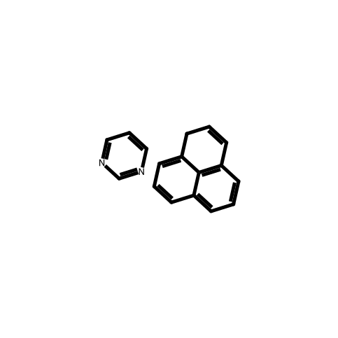 C1=Cc2cccc3cccc(c23)C1.c1cncnc1